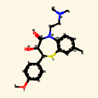 COc1ccc(C2Sc3cc(C)ccc3N(CCN(C)C)C(=O)C2O)cc1